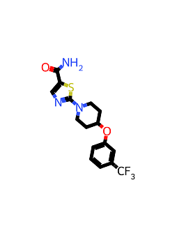 NC(=O)c1cnc(N2CCC(Oc3cccc(C(F)(F)F)c3)CC2)s1